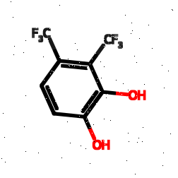 Oc1ccc(C(F)(F)F)c(C(F)(F)F)c1O